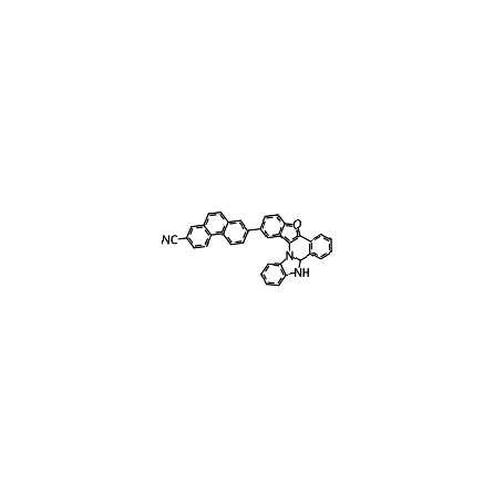 N#Cc1ccc2c(ccc3cc(-c4ccc5oc6c(c5c4)N4c5ccccc5NC4c4ccccc4-6)ccc32)c1